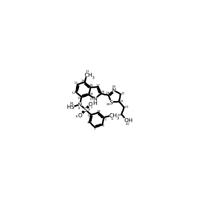 Cc1cccc(S(=O)(=O)N(S)c2ccc(C)c3cc(C4=NCC(CCO)S4)[nH]c23)c1